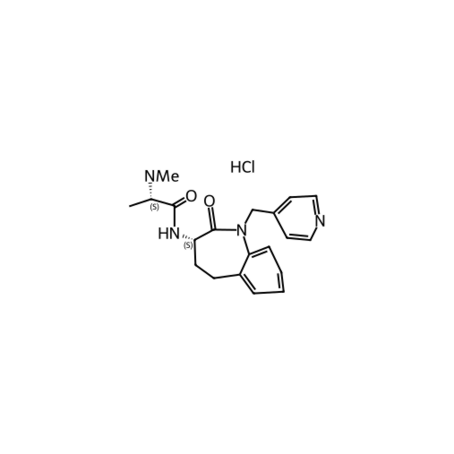 CN[C@@H](C)C(=O)N[C@H]1CCc2ccccc2N(Cc2ccncc2)C1=O.Cl